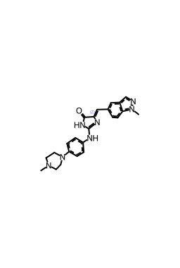 CN1CCN(c2ccc(NC3=N/C(=C\c4ccc5c(cnn5C)c4)C(=O)N3)cc2)CC1